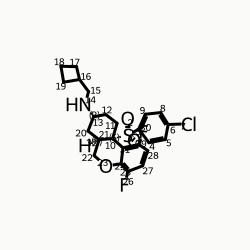 O=S(=O)(c1ccc(Cl)cc1)[C@@]12CC[C@@H](NCC3CCC3)C[C@@H]1COc1c(F)ccc(F)c12